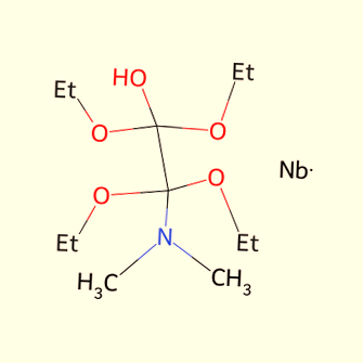 CCOC(O)(OCC)C(OCC)(OCC)N(C)C.[Nb]